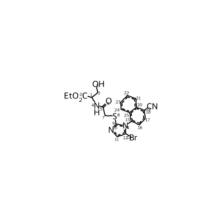 CCOC(=O)C(CO)NC(=O)CSc1ncc(Br)n1-c1ccc(C#N)c2ccccc12